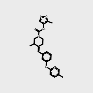 Cc1ccc(Oc2cccc(C=C3CCN(C(=O)Nc4cnoc4C)CC3C)c2)nc1